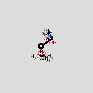 [2H]C([2H])([2H])N1CC[C@@](O)(C#Cc2cccc(B3OC(C)(C)C(C)(C)O3)c2)C1=O